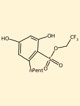 CCCCCc1cc(O)cc(O)c1S(=O)(=O)OCC(F)(F)F